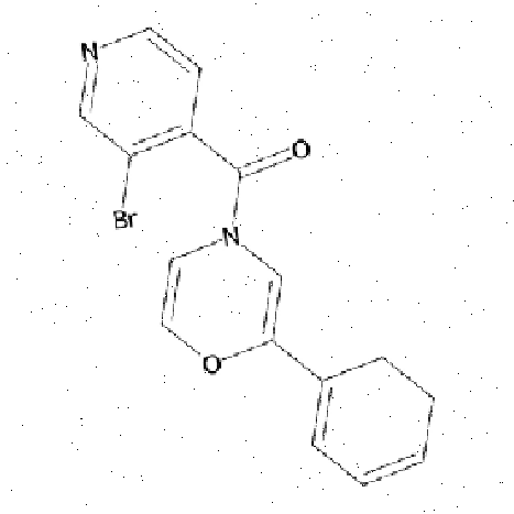 O=C(c1ccncc1Br)N1C=COC(C2=CC=CCC2)=C1